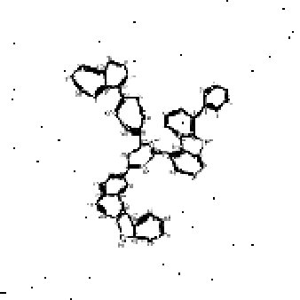 c1ccc(-c2cccc3c2oc2cccc(-c4nc(-c5ccc(-c6cccc7ccccc67)cc5)nc(-c5ccc6ccc7oc8ccccc8c7c6c5)n4)c23)cc1